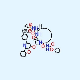 CC(C)(C)c1ccc(-c2cc(O[C@@H]3C[C@H]4C(=O)N[C@]5(C(=O)NS(=O)(=O)C6(C)CC6)C[C@H]5/C=C\CCCCC[C@H](NC(=O)OC5CCCC5)C(=O)N4C3)c3oc4ccccc4c3n2)cc1